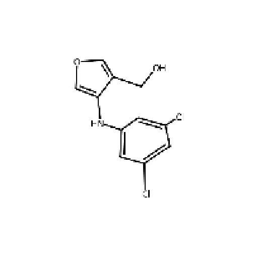 OCc1co[c]c1Nc1cc(Cl)cc(Cl)c1